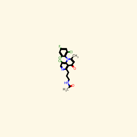 CC(=O)NCCCc1ncc(Cl)c2c1c(=O)cc(C)n2-c1c(Cl)cc(F)cc1Cl